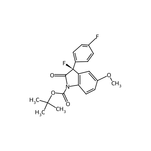 COc1ccc2c(c1)[C@@](F)(c1ccc(F)cc1)C(=O)N2C(=O)OC(C)(C)C